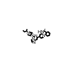 CCC(C)N1CC2CC1CN2c1nc(-c2ccnc(N[C@@H](C)c3ccccc3)c2)cc2nccn12